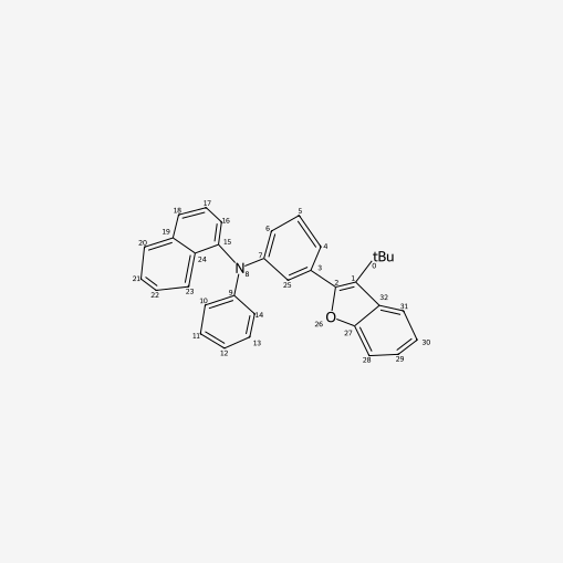 CC(C)(C)c1c(-c2cccc(N(c3ccccc3)c3cccc4ccccc34)c2)oc2ccccc12